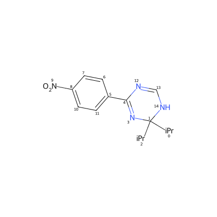 CC(C)C1(C(C)C)N=C(c2ccc([N+](=O)[O-])cc2)N=CN1